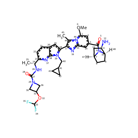 COc1cc(C(=O)N2[C@H]3CC[C@@H]2[C@H](N)C3)cc2nc(-c3cc4ccc([C@@H](C)NC(=O)N5CC(OC(F)F)C5)nc4n3CC3CC3)c(C)n12